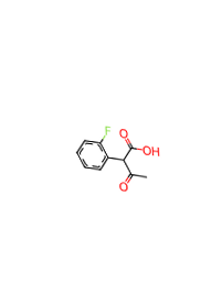 CC(=O)C(C(=O)O)c1ccccc1F